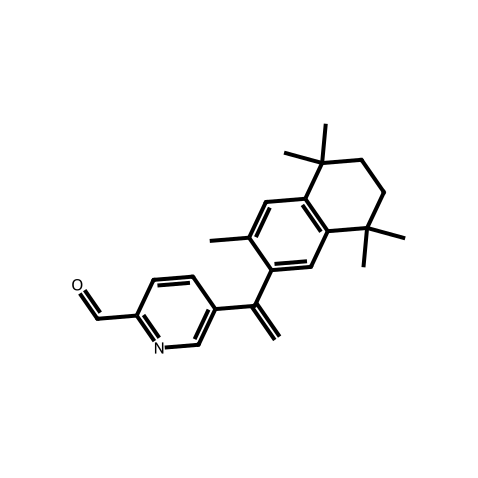 C=C(c1ccc(C=O)nc1)c1cc2c(cc1C)C(C)(C)CCC2(C)C